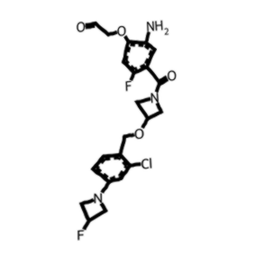 Nc1cc(C(=O)N2CC(OCc3ccc(N4CC(F)C4)cc3Cl)C2)c(F)cc1OCC=O